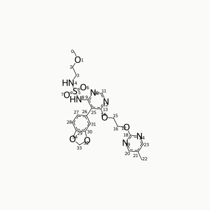 COCCNS(=O)(=O)Nc1ncnc(OCCOc2ncc(C)cn2)c1-c1ccc2c(c1)OCO2